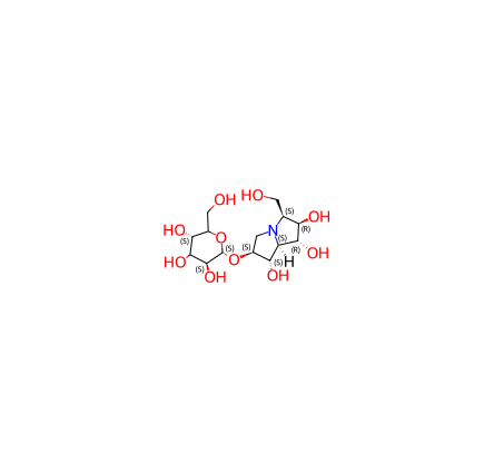 OCC1O[C@H](O[C@H]2CN3[C@@H]([C@@H](O)[C@H](O)[C@@H]3CO)[C@@H]2O)[C@@H](O)C(O)[C@@H]1O